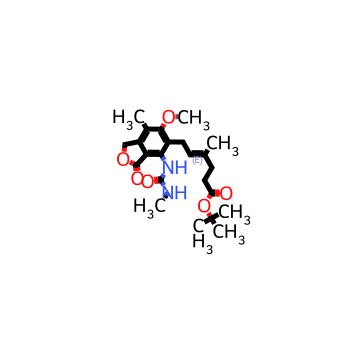 CNC(=O)Nc1c(C/C=C(\C)CCC(=O)OC(C)(C)C)c(OC)c(C)c2c1C(=O)OC2